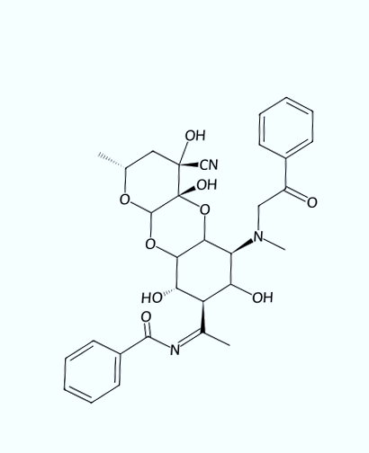 C/C(=N/C(=O)c1ccccc1)[C@@H]1C(O)[C@H](N(C)CC(=O)c2ccccc2)C2O[C@]3(O)C(OC2[C@H]1O)O[C@H](C)C[C@@]3(O)C#N